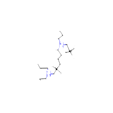 CCCN(CCCCC(C)(C)CN(CC)CCC)CC(C)(C)C